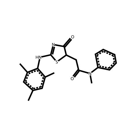 Cc1cc(C)c(NC2=NC(=O)C(CC(=O)N(C)c3ccccc3)S2)c(C)c1